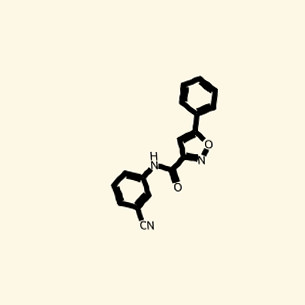 N#Cc1cccc(NC(=O)c2cc(-c3ccccc3)on2)c1